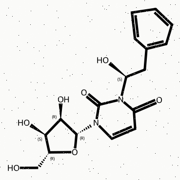 O=c1ccn([C@@H]2O[C@H](CO)[C@@H](O)[C@H]2O)c(=O)n1[C@@H](O)Cc1ccccc1